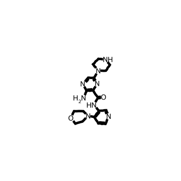 Nc1ncc(N2CCNCC2)nc1C(=O)Nc1cnccc1N1CCOCC1